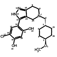 CO[C@H]1CC[C@H](CN2CCc3n[nH]c(-c4cc(Cl)c(O)cc4O)c3C2)CC1